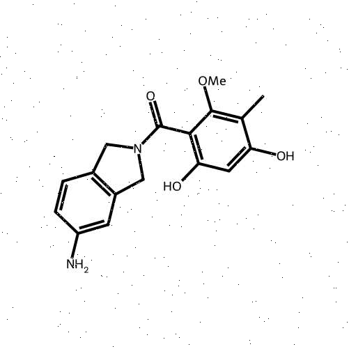 COc1c(C)c(O)cc(O)c1C(=O)N1Cc2ccc(N)cc2C1